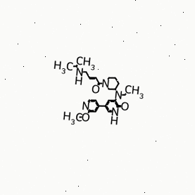 CCN(c1cc(-c2ccnc(OC)c2)c[nH]c1=O)[C@H]1CCCN(C(=O)C=CCNC(C)C)C1